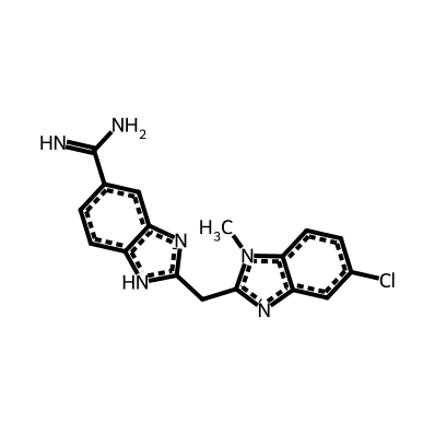 Cn1c(Cc2nc3cc(C(=N)N)ccc3[nH]2)nc2cc(Cl)ccc21